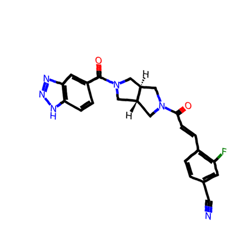 N#Cc1ccc(/C=C/C(=O)N2C[C@@H]3CN(C(=O)c4ccc5[nH]nnc5c4)C[C@H]3C2)c(F)c1